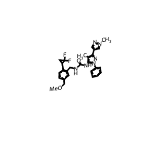 COCc1ccc(C2CC2(F)F)c(CNC(=O)Nc2c(C)c(-c3cnn(C)c3)nn2-c2ccccc2)c1